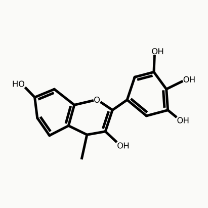 CC1C(O)=C(c2cc(O)c(O)c(O)c2)Oc2cc(O)ccc21